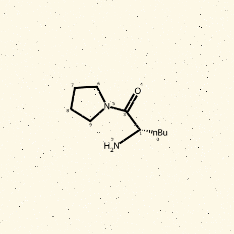 [CH2]CCC[C@H](N)C(=O)N1CCCC1